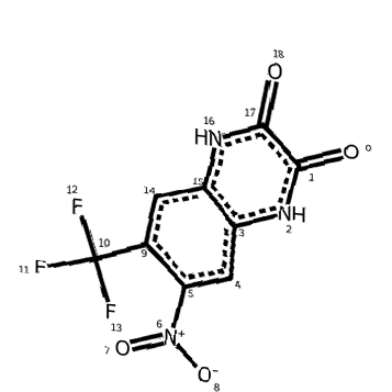 O=c1[nH]c2cc([N+](=O)[O-])c(C(F)(F)F)cc2[nH]c1=O